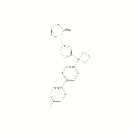 Nc1ncc(-c2ccc(C3(c4noc(N5CCCC5=O)n4)CCC3)cc2)cn1